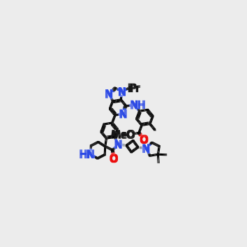 COC(=O)c1cc(Nc2nc(-c3ccc4c(c3)N([C@H]3C[C@@H](N5CCC(C)(C)C5)C3)C(=O)C43CCNCC3)cc3ncn(C(C)C)c23)ccc1C